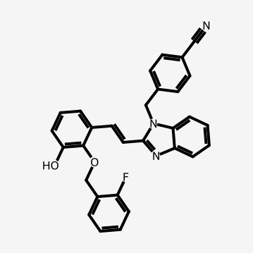 N#Cc1ccc(Cn2c(/C=C/c3cccc(O)c3OCc3ccccc3F)nc3ccccc32)cc1